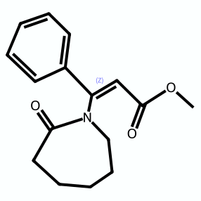 COC(=O)/C=C(/c1ccccc1)N1CCCCCC1=O